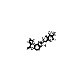 C=C(Oc1ccc2[nH]c([S+]([O-])Cc3ncc(C)c(OC)c3C)nc2c1)c1ccco1